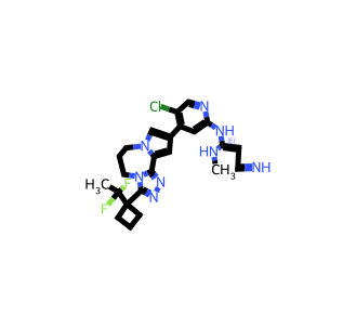 CN/C(=C\C=N)Nc1cc(-c2cc3n(c2)CCCn2c-3nnc2C2(C(C)(F)F)CCC2)c(Cl)cn1